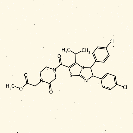 COC(=O)CN1CCN(C(=O)C2=C(C(C)C)N3C(=NC(c4ccc(Cl)cc4)C3c3ccc(Cl)cc3)S2)CC1=O